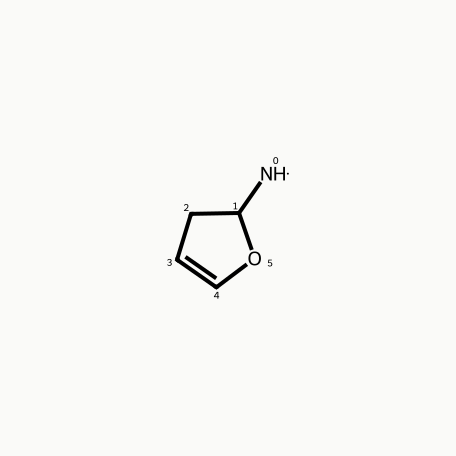 [NH]C1CC=CO1